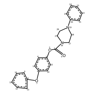 O=C(Oc1ccc(Oc2ccccc2)cc1)N1CCN(c2ccccc2)CC1